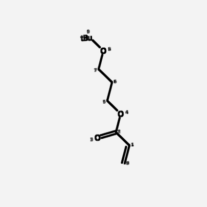 C=CC(=O)OCCCOC(C)(C)C